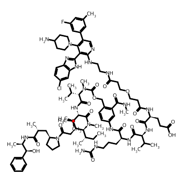 CC[C@H](C)[C@@H]([C@@H](CC(=O)N1CCC[C@H]1C[C@@H](C)C(=O)N[C@H](C)[C@@H](O)c1ccccc1)OC)N(C)C(=O)[C@@H](NC(=O)[C@H](C(C)C)N(C)C(=O)OCc1ccc(NC(=O)[C@H](CCCNC(N)=O)NC(=O)[C@@H](NC(=O)[C@H](CCC(=O)O)NC(=O)CCOCCC(=O)NCCNc2ncc(-c3cc(C)cc(F)c3)c(N3CCC(N)CC3)c2-c2nc3ccc(Cl)cc3[nH]2)C(C)C)cc1C(=O)NC)C(C)C